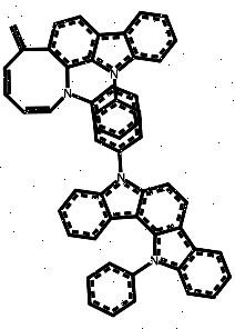 C=C1/C=C\C=C/N(c2ccccc2)c2c1ccc1c3ccccc3n(-c3ccc(-n4c5ccccc5c5c4ccc4c6ccccc6n(-c6ccccc6)c45)cc3)c21